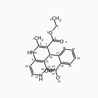 CCOC(=O)C1=C(C)Nc2cc[nH]c(=O)c2C1c1ccccc1[N+](=O)[O-]